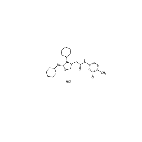 Cc1ccc(NC(=O)CC2CSC(=NC3CCCCC3)N2C2CCCCC2)cc1Cl.Cl